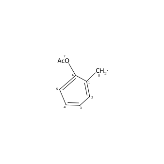 [CH2]c1ccccc1OC(C)=O